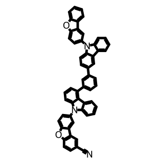 N#Cc1ccc2oc3ccc(-n4c5ccccc5c5c(-c6cccc(-c7ccc8c(c7)c7ccccc7n8-c7ccc8oc9ccccc9c8c7)c6)cccc54)cc3c2c1